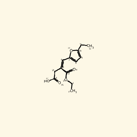 CCOC(=O)/C(=C\c1ccc(CC)o1)CC(=O)O